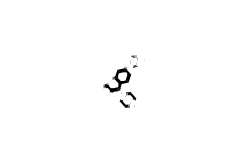 CC(=O)c1c(N2CCNCC2)c2ccc(OS(=O)(=O)C(F)(F)F)cc2oc1=O